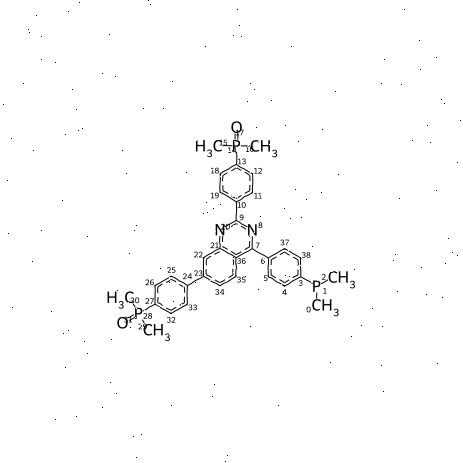 CP(C)c1ccc(-c2nc(-c3ccc(P(C)(C)=O)cc3)nc3cc(-c4ccc(P(C)(C)=O)cc4)ccc23)cc1